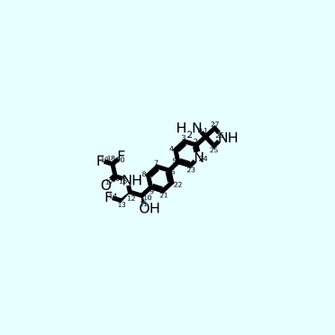 NC1(c2ccc(-c3ccc([C@@H](O)[C@@H](CF)NC(=O)C(F)F)cc3)cn2)CNC1